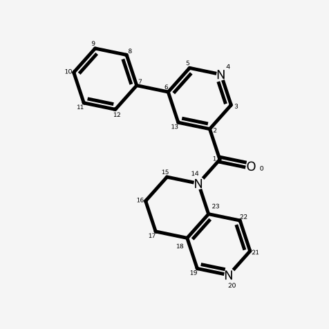 O=C(c1cncc(-c2ccccc2)c1)N1CCCc2cnccc21